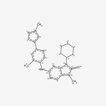 Cc1cc(-c2cnn(C)c2)ncc1Nc1ncc2c(n1)n(C1CCSCC1)c(=O)n2C